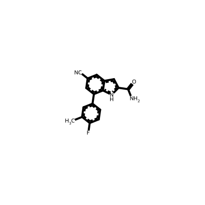 Cc1cc(-c2cc(C#N)cc3cc(C(N)=O)[nH]c23)ccc1F